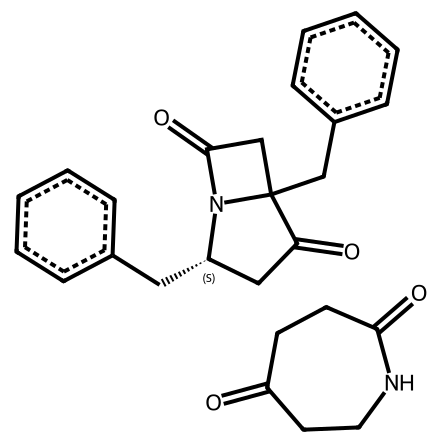 O=C1CC2(Cc3ccccc3)C(=O)C[C@H](Cc3ccccc3)N12.O=C1CCNC(=O)CC1